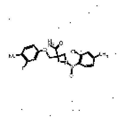 Cc1ccc([S+]([O-])N2CC(COc3ccc(C#N)c(F)c3)(C(N)=O)C2)c(Cl)c1